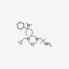 CN(C)[C@]1(c2ccccc2)CC[C@]2(CC1)CN(CC(C)(C)N)COCN2CC1CC1